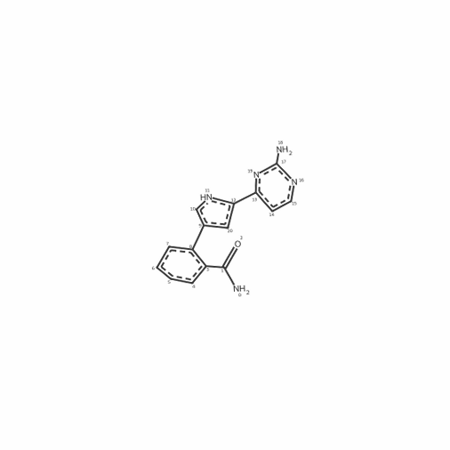 NC(=O)c1ccccc1-c1c[nH]c(-c2ccnc(N)n2)c1